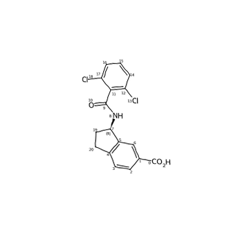 O=C(O)c1ccc2c(c1)[C@H](NC(=O)c1c(Cl)cccc1Cl)CC2